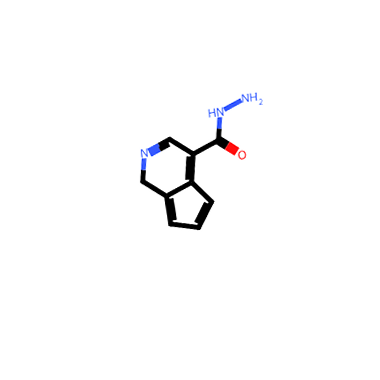 NNC(=O)C1=C2C=CC=C2CN=C1